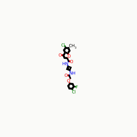 Cc1cc2oc(C(=O)NC34CC(NC(=O)COc5ccc(Cl)c(F)c5)(C3)C4)cc(=O)c2cc1Cl